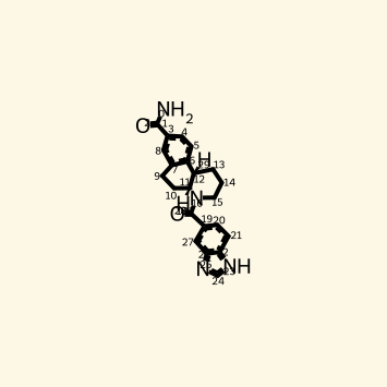 NC(=O)c1ccc2c(c1)CC[C@@H]1[C@H]2CCCN1C(=O)c1ccc2[nH]cnc2c1